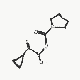 CN(OC(=O)N1CCCC1)C(=O)C1CC1